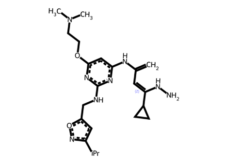 C=C(/C=C(\NN)C1CC1)Nc1cc(OCCN(C)C)nc(NCc2cc(C(C)C)no2)n1